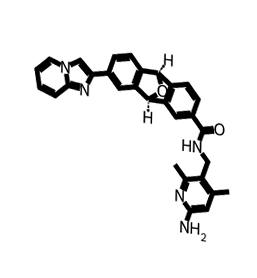 Cc1cc(N)nc(C)c1CNC(=O)c1ccc2c(c1)[C@@H]1O[C@H]2c2ccc(-c3cn4ccccc4n3)cc21